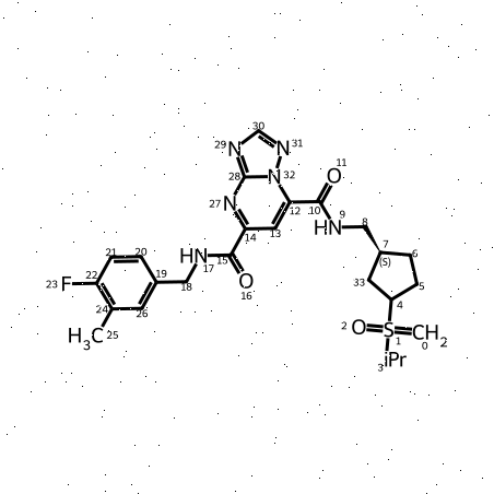 C=S(=O)(C(C)C)C1CC[C@H](CNC(=O)c2cc(C(=O)NCc3ccc(F)c(C)c3)nc3ncnn23)C1